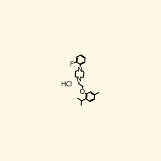 Cc1ccc(C(C)C)c(OCCN2CCN(c3ccccc3F)CC2)c1.Cl